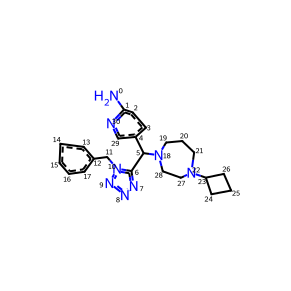 Nc1ccc(C(c2nnnn2Cc2ccccc2)N2CCCN(C3CCC3)CC2)cn1